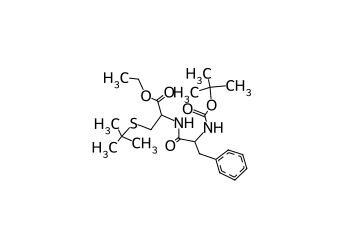 CCOC(=O)C(CSC(C)(C)C)NC(=O)C(Cc1ccccc1)NC(=O)OC(C)(C)C